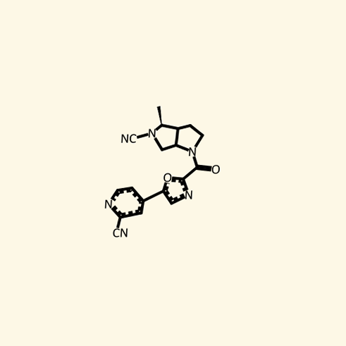 C[C@H]1C2CCN(C(=O)c3ncc(-c4ccnc(C#N)c4)o3)C2CN1C#N